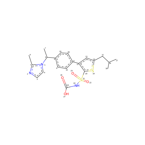 Cc1nccn1C(C)c1ccc(-c2cc(CC(C)C)sc2S(=O)(=O)NC(=O)O)cc1